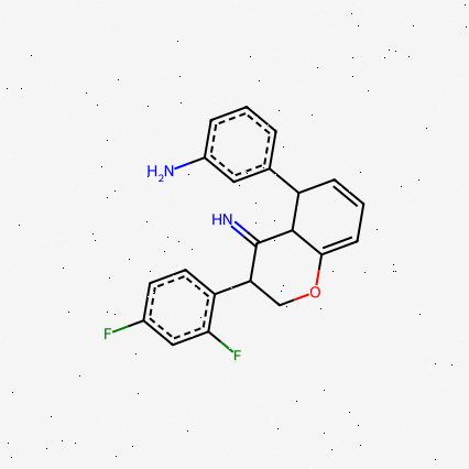 N=C1C(c2ccc(F)cc2F)COC2=CC=CC(c3cccc(N)c3)C12